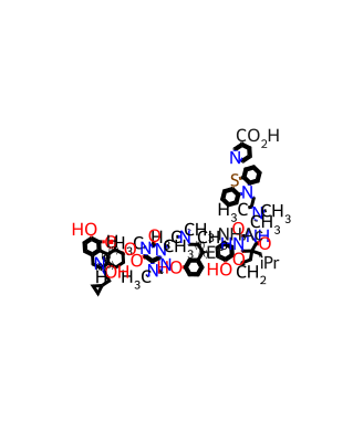 C=CCC1(CC(C)C)C(=O)NC(=O)NC1=O.CC(=O)Nc1ccc(O)cc1.CC(CN1c2ccccc2Sc2ccccc21)N(C)C.CC[C@@H](c1cccc(O)c1)[C@@H](C)CN(C)C.Cn1c(=O)c2c(ncn2C)n(C)c1=O.O=C(O)c1cccnc1.O=C1CC[C@@]2(O)[C@H]3Cc4ccc(O)c5c4[C@@]2(CCN3CC2CC2)[C@H]1O5